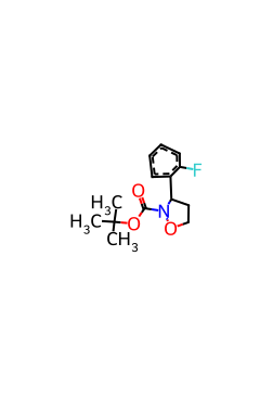 CC(C)(C)OC(=O)N1OCCC1c1ccccc1F